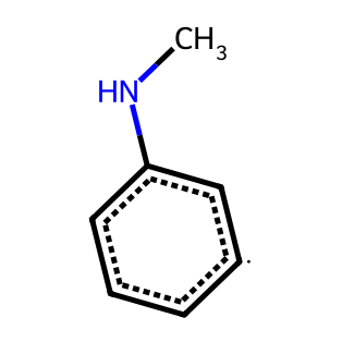 CNc1c[c]ccc1